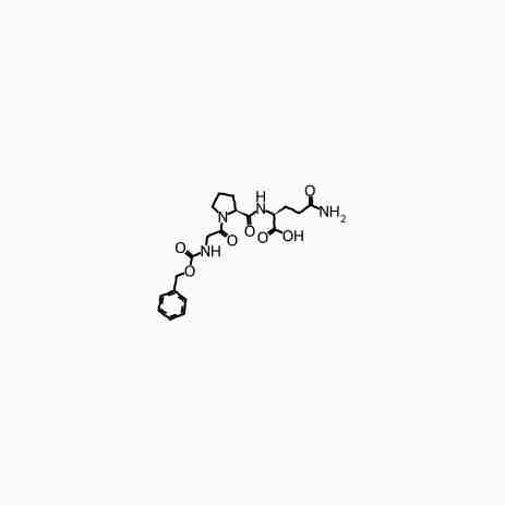 NC(=O)CC[C@H](NC(=O)[C@@H]1CCCN1C(=O)CNC(=O)OCc1ccccc1)C(=O)O